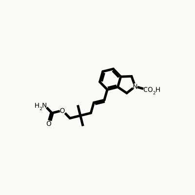 CC(C)(C/C=C/c1cccc2c1CN(C(=O)O)C2)COC(N)=O